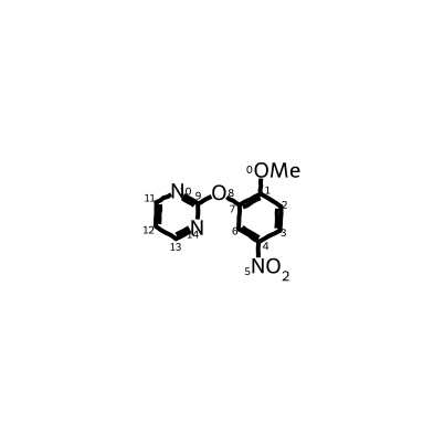 COc1ccc([N+](=O)[O-])cc1Oc1ncccn1